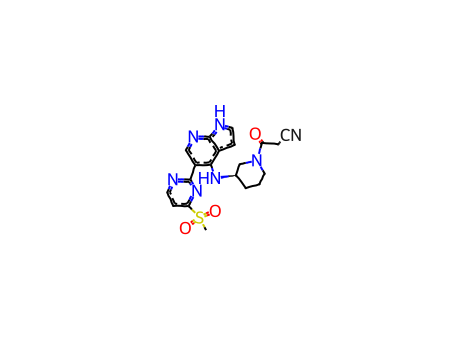 CS(=O)(=O)c1ccnc(-c2cnc3[nH]ccc3c2N[C@@H]2CCCN(C(=O)CC#N)C2)n1